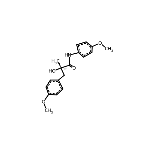 COc1ccc(C[C@](C)(O)C(=O)Nc2ccc(OC)cc2)cc1